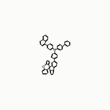 c1ccc(-c2ccc(N(c3ccc(-c4ccc5c(c4)C4(c6ccccc6Oc6ccccc64)c4ccccc4-5)cc3)c3ccc(-c4cccc5ccccc45)cc3)cc2)cc1